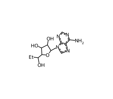 CCC(O)C1OC(n2cnc3c(N)ncnc32)C(O)C1O